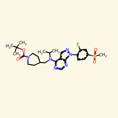 CC(C)N(CC1CCN(C(=O)OC(C)(C)C)CC1)c1ncnc2c1cnn2-c1ccc(S(C)(=O)=O)cc1F